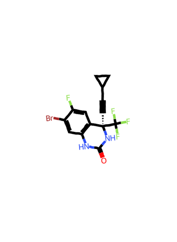 O=C1Nc2cc(Br)c(F)cc2[C@@](C#CC2CC2)(C(F)(F)F)N1